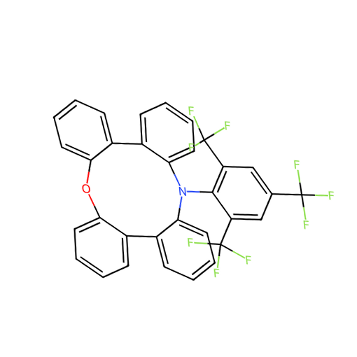 FC(F)(F)c1cc(C(F)(F)F)c(N2c3ccccc3-c3ccccc3Oc3ccccc3-c3ccccc32)c(C(F)(F)F)c1